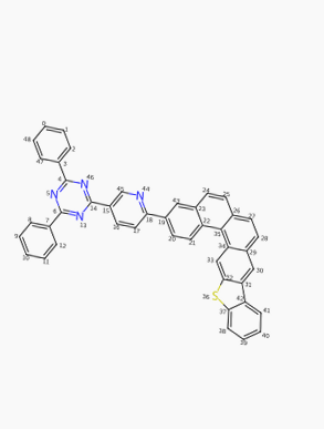 c1ccc(-c2nc(-c3ccccc3)nc(-c3ccc(-c4ccc5c(ccc6ccc7cc8c(cc7c65)sc5ccccc58)c4)nc3)n2)cc1